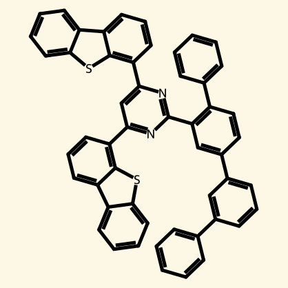 c1ccc(-c2cccc(-c3ccc(-c4ccccc4)c(-c4nc(-c5cccc6c5sc5ccccc56)cc(-c5cccc6c5sc5ccccc56)n4)c3)c2)cc1